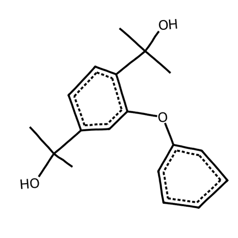 CC(C)(O)c1ccc(C(C)(C)O)c(Oc2ccccc2)c1